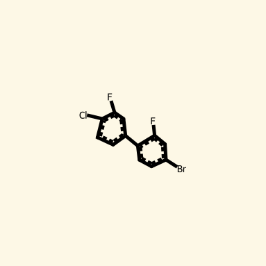 Fc1cc(-c2ccc(Br)cc2F)ccc1Cl